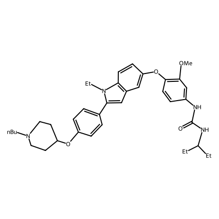 CCCCN1CCC(Oc2ccc(-c3cc4cc(Oc5ccc(NC(=O)NC(CC)CC)cc5OC)ccc4n3CC)cc2)CC1